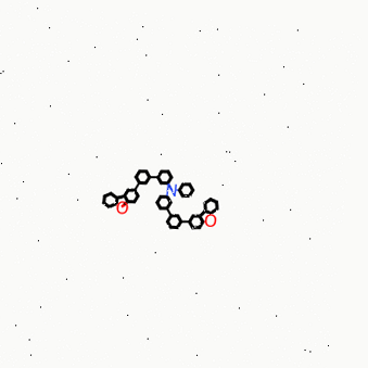 c1ccc(N(c2cccc(-c3cccc(-c4ccc5oc6ccccc6c5c4)c3)c2)c2cccc(-c3cccc(-c4ccc5oc6ccccc6c5c4)c3)c2)cc1